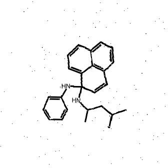 CC(C)CC(C)NC1(Nc2ccccc2)C=Cc2cccc3cccc1c23